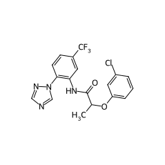 CC(Oc1cccc(Cl)c1)C(=O)Nc1cc(C(F)(F)F)ccc1-n1cncn1